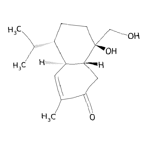 CC1=C[C@@H]2[C@@H](CC1=O)[C@@](O)(CO)CC[C@H]2C(C)C